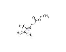 CCOC(=O)CC/N=C(\C)N(C)C